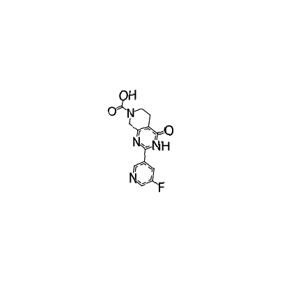 O=C(O)N1CCc2c(nc(-c3cncc(F)c3)[nH]c2=O)C1